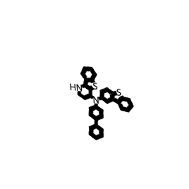 C1=C(N(c2ccc(-c3ccccc3)cc2)c2ccc3sc4ccccc4c3c2)c2sc3ccccc3c2NC1